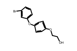 OCCOc1ccc(Oc2cccc(Br)c2)cc1